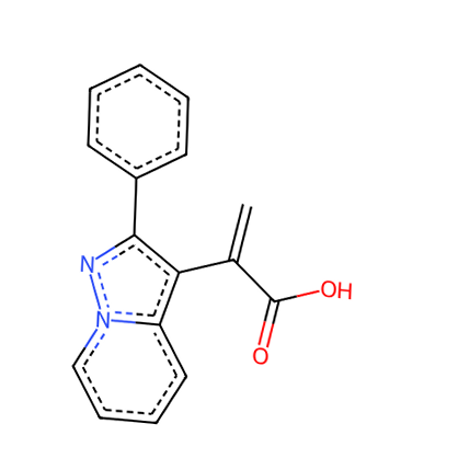 C=C(C(=O)O)c1c(-c2ccccc2)nn2ccccc12